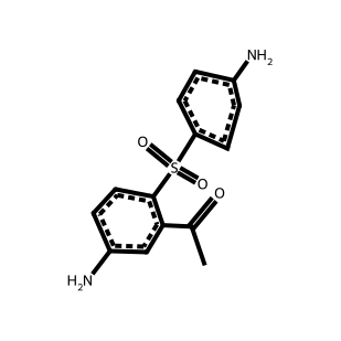 CC(=O)c1cc(N)ccc1S(=O)(=O)c1ccc(N)cc1